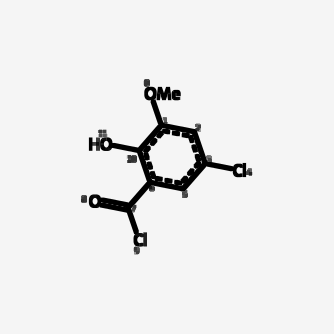 COc1cc(Cl)cc(C(=O)Cl)c1O